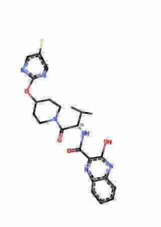 CC(C)[C@H](NC(=O)c1nc2ccccc2nc1O)C(=O)N1CCC(Oc2ncc(F)cn2)CC1